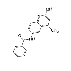 Cc1cc(O)nc2ccc(NC(=O)c3ccccc3)cc12